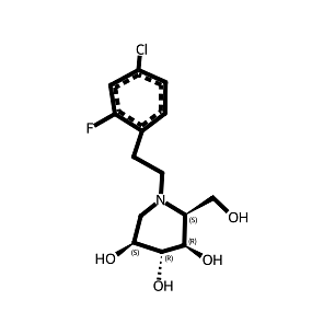 OC[C@H]1[C@@H](O)[C@H](O)[C@@H](O)CN1CCc1ccc(Cl)cc1F